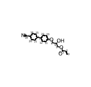 C=CC(=O)OCC(O)COc1ccc(-c2ccc(C#N)cc2)cc1